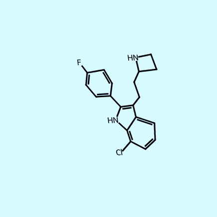 Fc1ccc(-c2[nH]c3c(Cl)cccc3c2CCC2CCN2)cc1